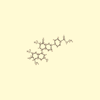 COC(=O)c1ccc(-c2cc3c(=O)n(C)cc(-c4nc(Cl)cc5c4cc(C)c(=O)n5C)c3cn2)cn1